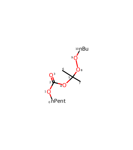 CCCCCOC(=O)OC(C)(C)OOCCCC